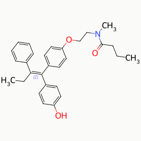 CCCC(=O)N(C)CCOc1ccc(/C(=C(/CC)c2ccccc2)c2ccc(O)cc2)cc1